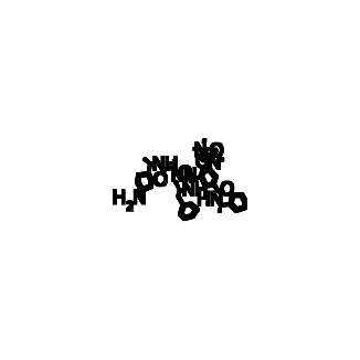 C[C@H](NC[C@H](Cc1ccccc1)NC(=O)c1cc(C(=O)N[C@H](C)c2ccccc2)cc(N(C)S(=O)(=O)N(C)C)c1)C(=O)N[C@H](C)c1ccc(N)cc1